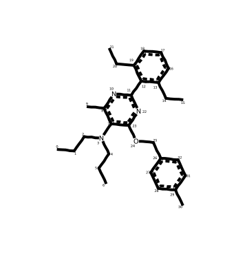 CCCN(CCC)c1c(C)nc(-c2c(CC)cccc2CC)nc1OCc1ccc(C)cc1